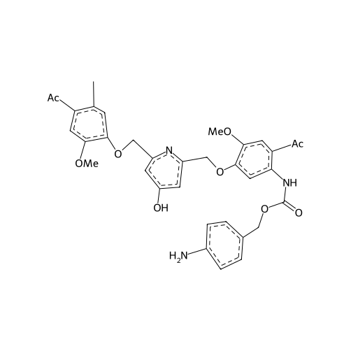 COc1cc(C(C)=O)c(C)cc1OCc1cc(O)cc(COc2cc(NC(=O)OCc3ccc(N)cc3)c(C(C)=O)cc2OC)n1